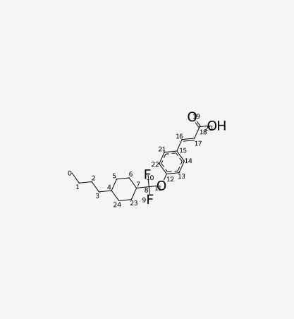 CCCCC1CCC(C(F)(F)Oc2ccc(/C=C/C(=O)O)cc2)CC1